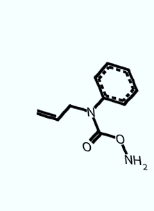 C=CCN(C(=O)ON)c1ccccc1